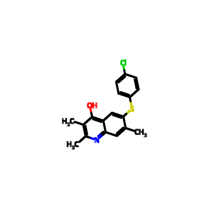 Cc1cc2nc(C)c(C)c(O)c2cc1Sc1ccc(Cl)cc1